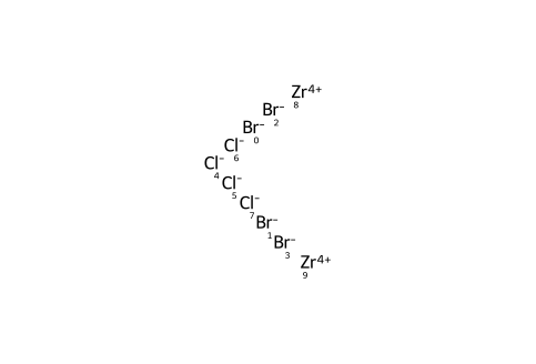 [Br-].[Br-].[Br-].[Br-].[Cl-].[Cl-].[Cl-].[Cl-].[Zr+4].[Zr+4]